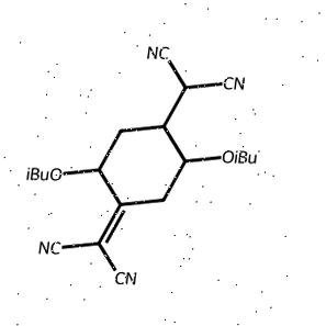 CC(C)COC1CC(C(C#N)C#N)C(OCC(C)C)CC1=C(C#N)C#N